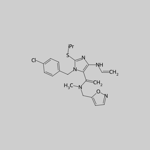 C=CNc1nc(SC(C)C)n(Cc2ccc(Cl)cc2)c1C(=C)N(C)Cc1ccno1